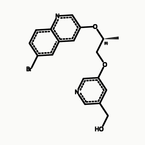 C[C@H](COc1cncc(CO)c1)Oc1cnc2ccc(Br)cc2c1